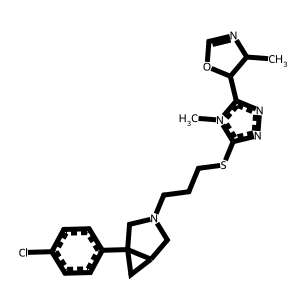 CC1N=COC1c1nnc(SCCCN2CC3CC3(c3ccc(Cl)cc3)C2)n1C